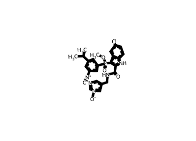 [C-]#[N+]c1cc(C(C)C)cc(P(=O)(OC)c2c(C(=O)NCc3cnc[n+]([O-])c3)[nH]c3ccc(Cl)cc23)c1